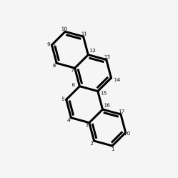 [c]1ccc2ccc3c4c[c]ccc4ccc3c2c1